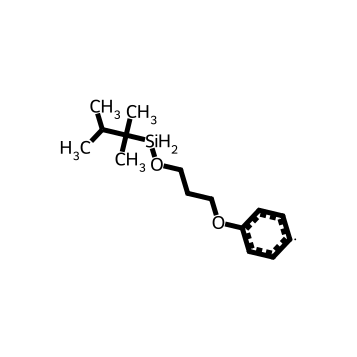 CC(C)C(C)(C)[SiH2]OCCCOc1cc[c]cc1